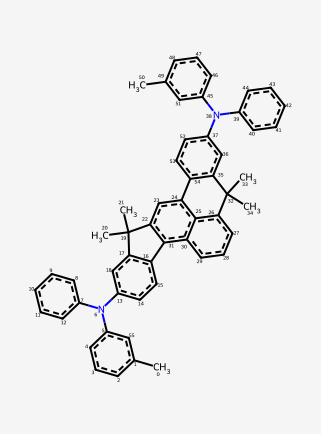 Cc1cccc(N(c2ccccc2)c2ccc3c(c2)C(C)(C)c2cc4c5c(cccc5c2-3)C(C)(C)c2cc(N(c3ccccc3)c3cccc(C)c3)ccc2-4)c1